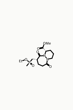 CCOP(C)(=O)C[C@H]1CCC(=O)N2CCC[C@@H](C(=O)OC)N2C1=O